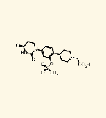 CS(=O)(=O)Oc1cc(N2CCC(=O)NC2=O)ccc1C1CCN(CC(=O)O)CC1